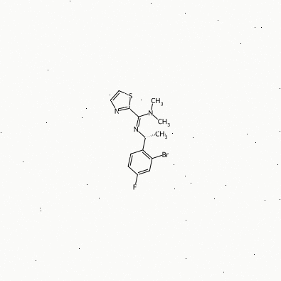 C[C@@H](/N=C(/c1nccs1)N(C)C)c1ccc(F)cc1Br